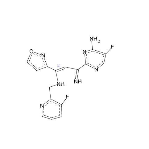 N=C(/C=C(\NCc1ncccc1F)c1ccon1)c1ncc(F)c(N)n1